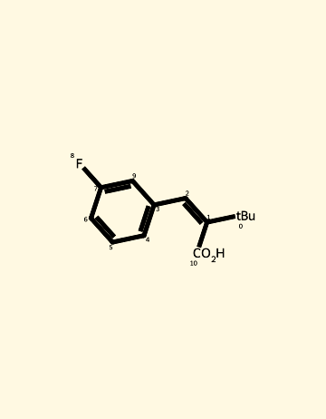 CC(C)(C)C(=Cc1cccc(F)c1)C(=O)O